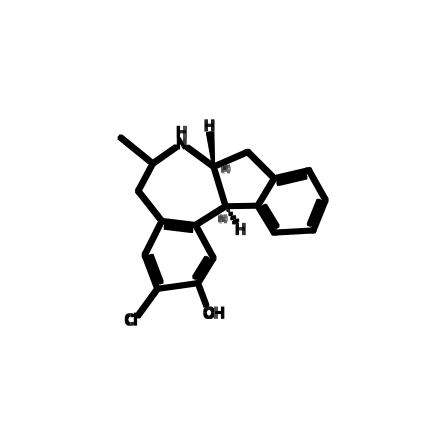 CC1Cc2cc(Cl)c(O)cc2[C@@H]2c3ccccc3C[C@H]2N1